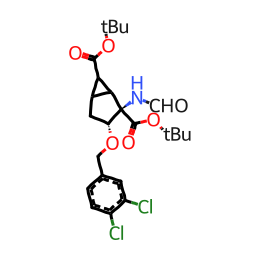 CC(C)(C)OC(=O)C1C2C[C@@H](OCc3ccc(Cl)c(Cl)c3)[C@@](NC=O)(C(=O)OC(C)(C)C)C21